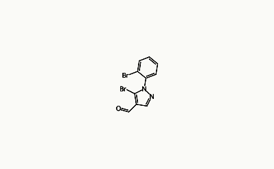 O=Cc1cnn(-c2ccccc2Br)c1Br